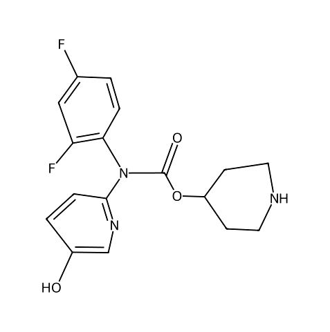 O=C(OC1CCNCC1)N(c1ccc(O)cn1)c1ccc(F)cc1F